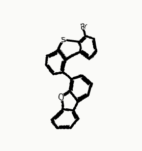 Brc1cccc2c1sc1cccc(-c3cccc4c3oc3ccccc34)c12